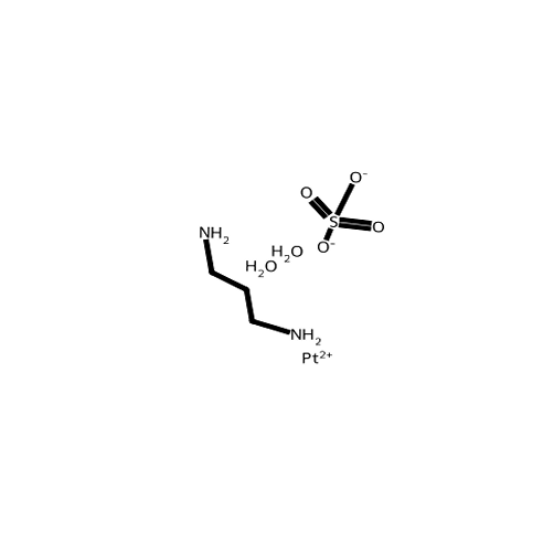 NCCCN.O.O.O=S(=O)([O-])[O-].[Pt+2]